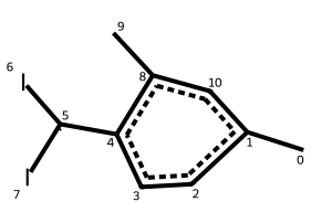 Cc1ccc([C](I)I)c(C)c1